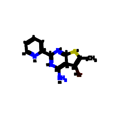 Cc1sc2nc(-c3ccccn3)nc(N)c2c1Br